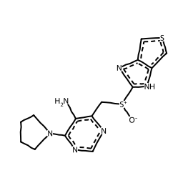 Nc1c(C[S+]([O-])c2nc3cscc3[nH]2)ncnc1N1CCCC1